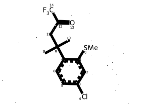 CSc1cc(Cl)ccc1C(C)(C)CC(=O)C(F)(F)F